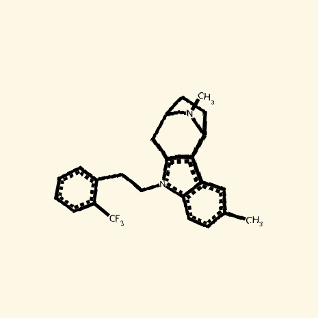 Cc1ccc2c(c1)c1c(n2CCc2ccccc2C(F)(F)F)CC2CCC1N2C